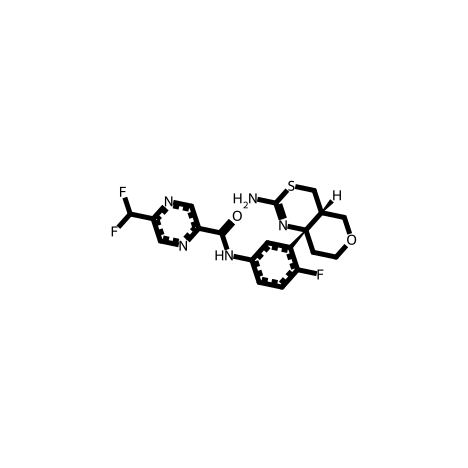 NC1=N[C@@]2(c3cc(NC(=O)c4cnc(C(F)F)cn4)ccc3F)CCOC[C@H]2CS1